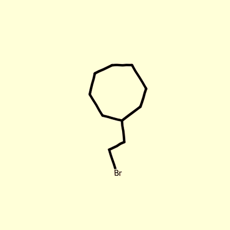 BrCCC1CCCCCCC1